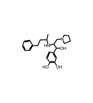 CC(CCc1ccccc1)NC(CN1CCCC1)C(O)c1ccc(O)c(O)c1